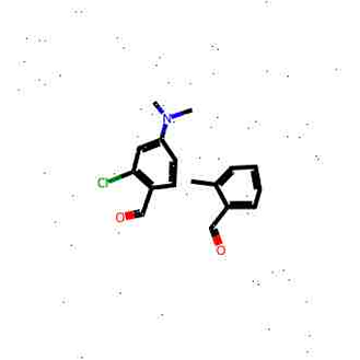 CN(C)c1ccc(C=O)c(Cl)c1.Cc1ccccc1C=O